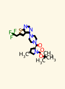 C[C@@H]1C[C@@H](C(=O)N2CCN(c3ncnc4sc(CC(F)(F)F)cc34)CC2)N(C(=O)OC(C)(C)C)C1